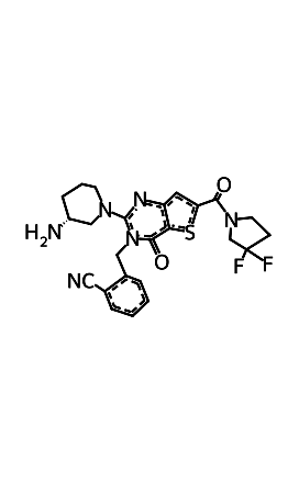 N#Cc1ccccc1Cn1c(N2CCC[C@@H](N)C2)nc2cc(C(=O)N3CCC(F)(F)C3)sc2c1=O